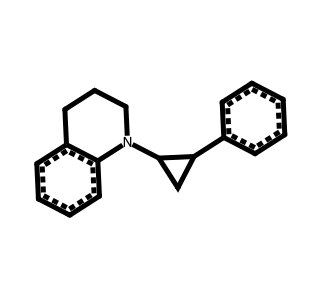 c1ccc(C2CC2N2CCCc3ccccc32)cc1